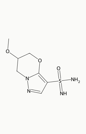 COC1COc2c(S(=N)(N)=O)cnn2C1